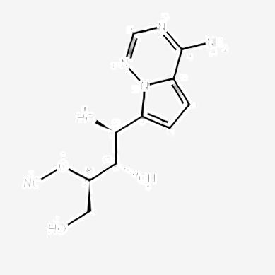 N#CO[C@H](CO)[C@@H](O)[C@@H](O)c1ccc2c(N)ncnn12